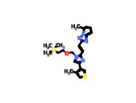 Cc1cscc1-c1cn(COCCS(C)(C)C)c(/C=C/c2nc3cccc(C)n3n2)n1